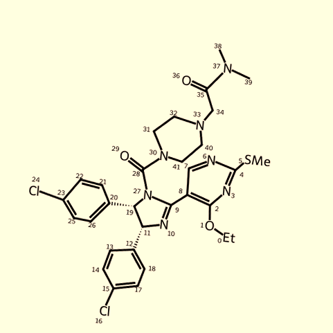 CCOc1nc(SC)ncc1C1=N[C@H](c2ccc(Cl)cc2)[C@H](c2ccc(Cl)cc2)N1C(=O)N1CCN(CC(=O)N(C)C)CC1